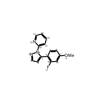 COc1ccc(-c2ccnn2-c2ccccn2)c(F)c1